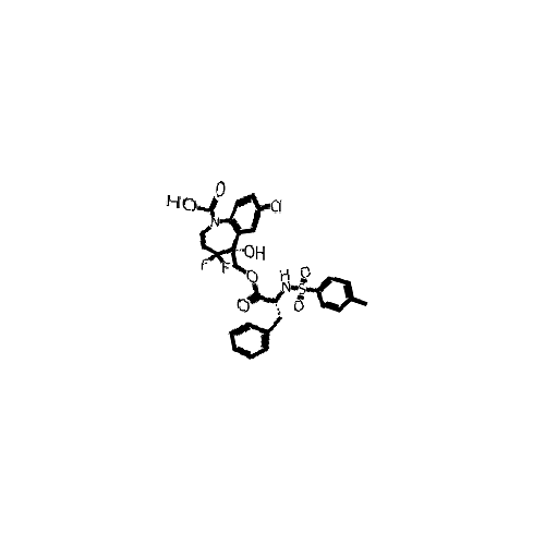 Cc1ccc(S(=O)(=O)N[C@H](Cc2ccccc2)C(=O)OC[C@]2(O)c3cc(Cl)ccc3N(C(=O)O)CCC2(F)F)cc1